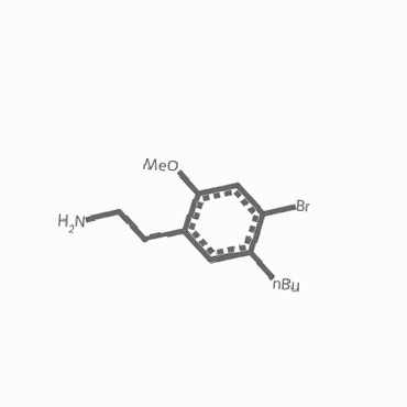 CCCCc1cc(CCN)c(OC)cc1Br